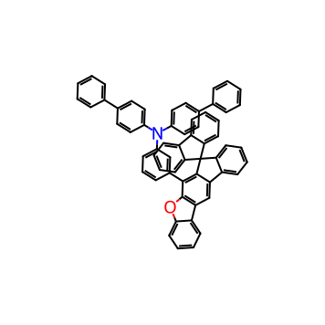 c1ccc(-c2ccc(N(c3ccc(-c4ccccc4)cc3)c3cccc(-c4c5c(cc6c4oc4ccccc46)-c4ccccc4C54c5ccccc5-c5ccccc54)c3)cc2)cc1